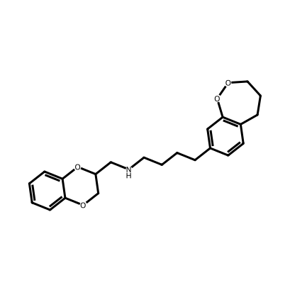 c1ccc2c(c1)OCC(CNCCCCc1ccc3c(c1)OOCCC3)O2